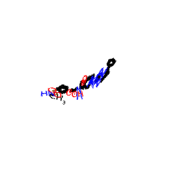 CNS(=O)(=O)c1cccc(OC[C@@H](O)CN[C@H]2COC3(CCN(c4nccc(-c5ccccc5)n4)CC3)C2)c1